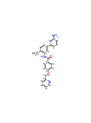 Cc1ccc(-c2cccc(N)n2)cc1NC(=O)c1ccc(OCc2ccccn2)cc1